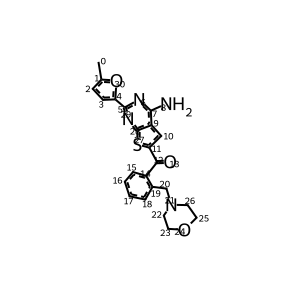 Cc1ccc(-c2nc(N)c3cc(C(=O)c4ccccc4CN4CCOCC4)sc3n2)o1